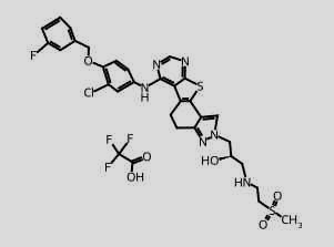 CS(=O)(=O)CCNC[C@@H](O)Cn1cc2c(n1)CCc1c-2sc2ncnc(Nc3ccc(OCc4cccc(F)c4)c(Cl)c3)c12.O=C(O)C(F)(F)F